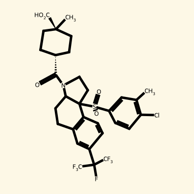 Cc1cc(S(=O)(=O)C23CCN(C(=O)[C@H]4CC[C@](C)(C(=O)O)CC4)C2CCc2cc(C(F)(C(F)(F)F)C(F)(F)F)ccc23)ccc1Cl